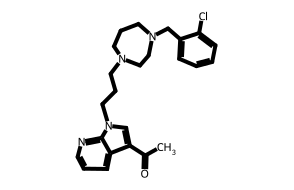 CC(=O)c1cn(CCCN2CCCN(Cc3ccccc3Cl)CC2)c2ncccc12